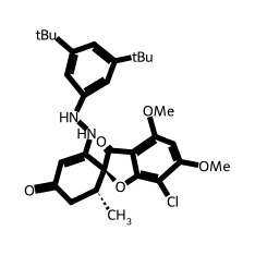 COc1cc(OC)c2c(c1Cl)O[C@]1(C2=O)C(NNc2cc(C(C)(C)C)cc(C(C)(C)C)c2)=CC(=O)C[C@H]1C